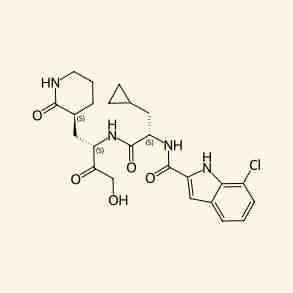 O=C(N[C@@H](CC1CC1)C(=O)N[C@@H](C[C@@H]1CCCNC1=O)C(=O)CO)c1cc2cccc(Cl)c2[nH]1